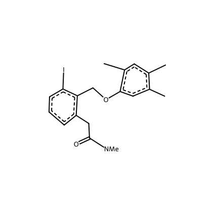 CNC(=O)Cc1cccc(I)c1COc1cc(C)c(C)cc1C